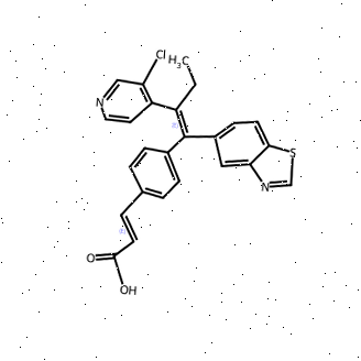 CC/C(=C(/c1ccc(/C=C/C(=O)O)cc1)c1ccc2scnc2c1)c1ccncc1Cl